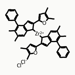 Cc1cc(C2=Cc3c(cc(C)c(C)c3-c3ccccc3)[CH]2[Zr+2][CH]2C(c3cc(C)c(C)o3)=Cc3c2cc(C)c(C)c3-c2ccccc2)oc1C.[Cl-].[Cl-]